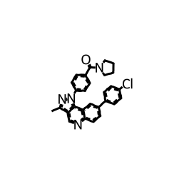 Cc1nn(-c2ccc(C(=O)N3CCCC3)cc2)c2c1cnc1ccc(-c3ccc(Cl)cc3)cc12